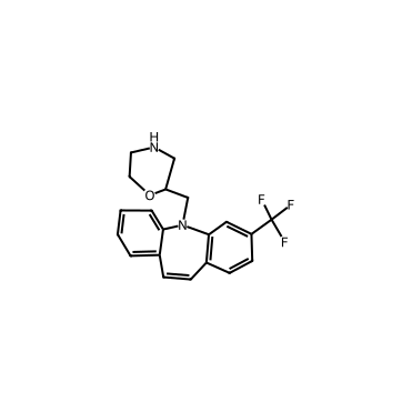 FC(F)(F)c1ccc2c(c1)N(CC1CNCCO1)c1ccccc1C=C2